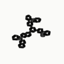 c1ccc(N(c2ccc3ccccc3c2)c2ccc3cc(-c4cc(-c5ccc6c(c5)oc5ccccc56)cc(-c5ccc6c7ccccc7n(-c7ccccc7)c6c5)c4)ccc3c2)cc1